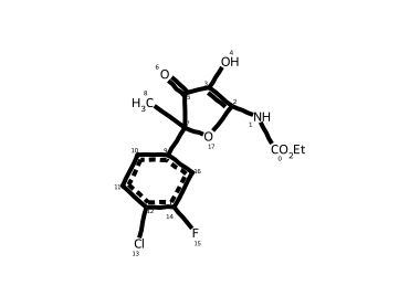 CCOC(=O)NC1=C(O)C(=O)C(C)(c2ccc(Cl)c(F)c2)O1